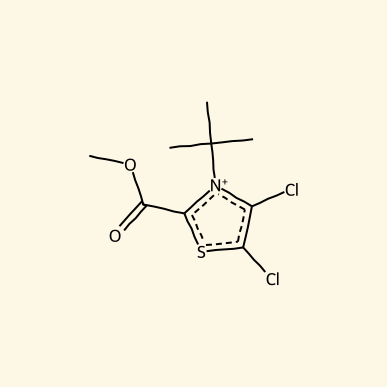 COC(=O)c1sc(Cl)c(Cl)[n+]1C(C)(C)C